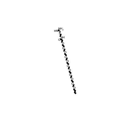 CCCCOCCOCCOCCOCCOCCOCCOCCOCCOCCOCCOCCC(=O)NCCSSC(=N)N